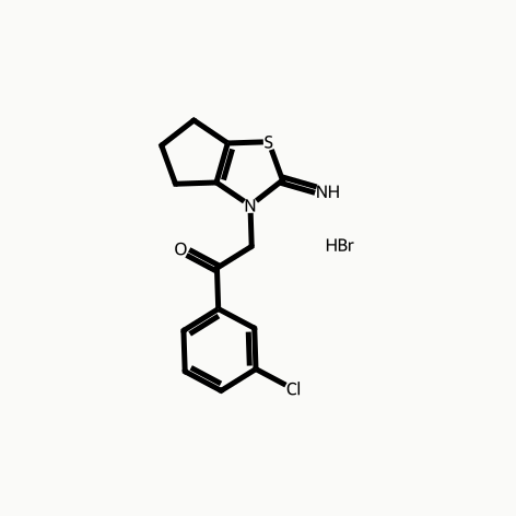 Br.N=c1sc2c(n1CC(=O)c1cccc(Cl)c1)CCC2